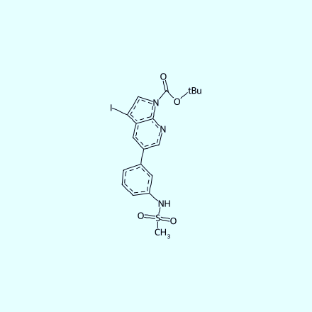 CC(C)(C)OC(=O)n1cc(I)c2cc(-c3cccc(NS(C)(=O)=O)c3)cnc21